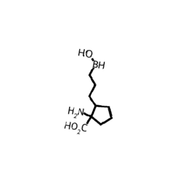 NC1(C(=O)O)CCCC1CCCBO